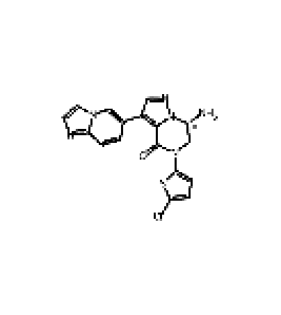 N[C@H]1CN(c2ccc(Cl)s2)C(=O)c2c(-c3ccc4nccn4c3)cnn21